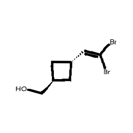 OC[C@H]1C[C@H](C=C(Br)Br)C1